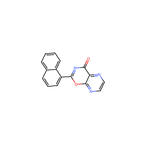 O=c1nc(-c2cccc3ccccc23)oc2nccnc12